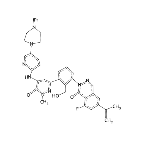 C=C(C)c1cc(F)c2c(=O)n(-c3cccc(-c4cc(Nc5ccc(N6CCN(C(C)C)CC6)cn5)c(=O)n(C)n4)c3CO)ncc2c1